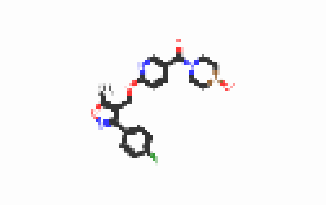 Cc1onc(-c2ccc(F)cc2)c1COc1ccc(C(=O)N2CC[S+]([O-])CC2)cn1